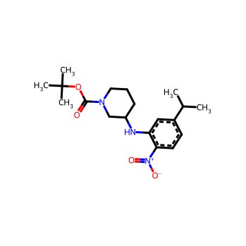 CC(C)c1ccc([N+](=O)[O-])c(NC2CCCN(C(=O)OC(C)(C)C)C2)c1